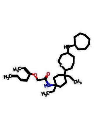 C=C/C=C\C(=C/C)OCC(=O)NC1(CC)CCC(CC)(C2CCCC(BC3CCCCCCC3)CCC2)CC1